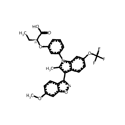 CC[C@H](Oc1cccc(-n2c(C)c(-c3noc4cc(OC)ccc34)c3ccc(OC(F)(F)F)cc32)c1)C(=O)O